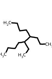 [CH2]CCCC(CCC)C(CC)CCCC